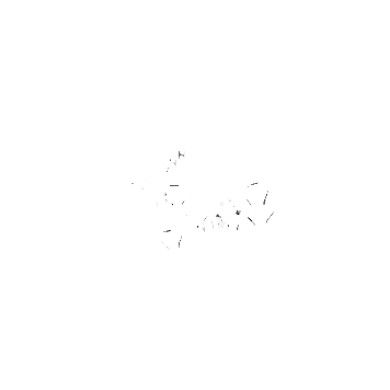 CC(C)[C@H](NS(=O)(=O)c1cccc2ccccc12)C1=NOC(Cc2ccccc2)(C(=O)N[C@@H](CC(=O)O)C(=O)C=[N+]=[N-])C1